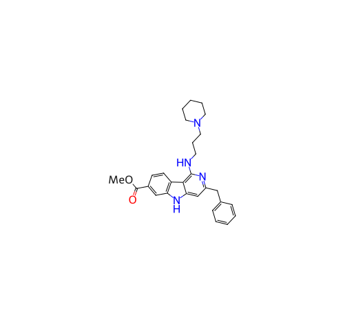 COC(=O)c1ccc2c(c1)[nH]c1cc(Cc3ccccc3)nc(NCCCN3CCCCC3)c12